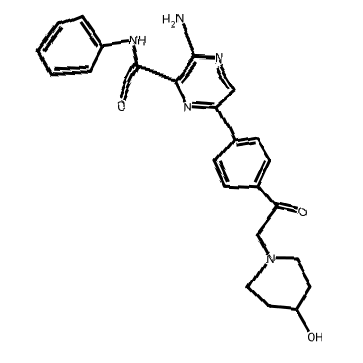 Nc1ncc(-c2ccc(C(=O)CN3CCC(O)CC3)cc2)nc1C(=O)Nc1ccccc1